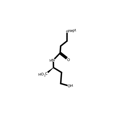 CCCCCCCCCC(=O)N[C@@H](CCO)C(=O)O